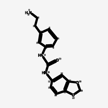 NCCc1cccc(NC(=O)Nc2ccc3c(c2)OCO3)c1